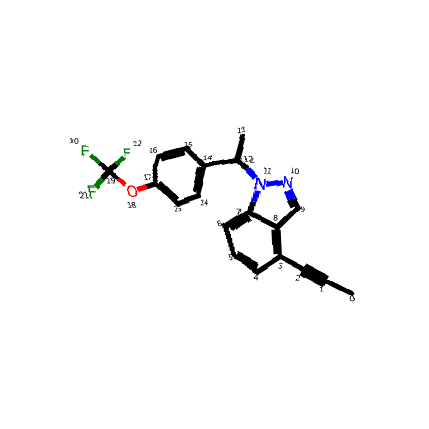 CC#Cc1cccc2c1cnn2C(C)c1ccc(OC(F)(F)F)cc1